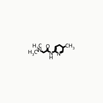 CC1C=NC(NC(=O)CN(C)C)=CC1